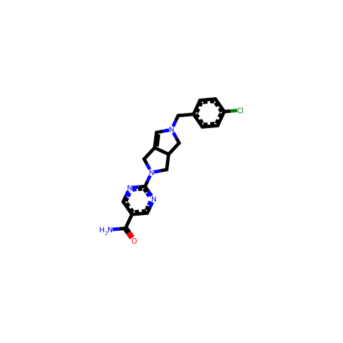 NC(=O)c1cnc(N2CC3=CN(Cc4ccc(Cl)cc4)CC3C2)nc1